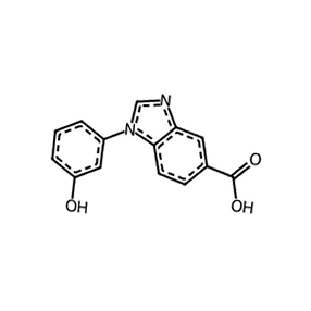 O=C(O)c1ccc2c(c1)ncn2-c1cccc(O)c1